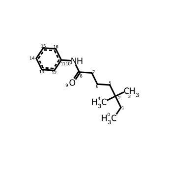 CCC(C)(C)CCCC(=O)Nc1ccccc1